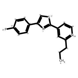 CCCc1cc(-c2nc(-c3ccc(F)cc3)cs2)ccn1